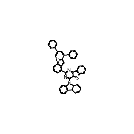 C/C=C(\C=C(\c1ccccc1)c1cc2c(-c3nc(N4c5ccccc5C5C=CC=CC54)c4sc5ccccc5c4n3)cccc2o1)c1ccccc1